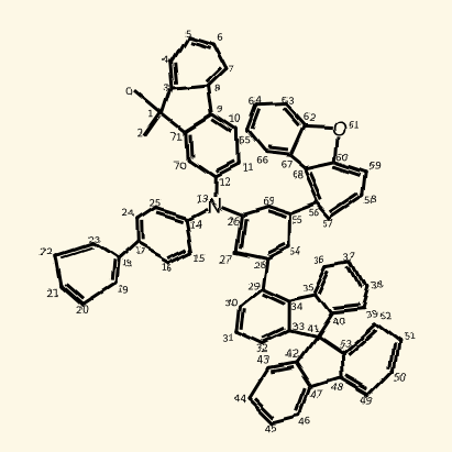 CC1(C)c2ccccc2-c2ccc(N(c3ccc(-c4ccccc4)cc3)c3cc(-c4cccc5c4-c4ccccc4C54c5ccccc5-c5ccccc54)cc(-c4cccc5oc6ccccc6c45)c3)cc21